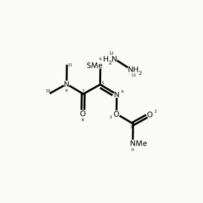 CNC(=O)ON=C(SC)C(=O)N(C)C.NN